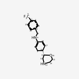 FC(F)(F)c1ccc(CNC2=CCC([C@H]3CNCCO3)C=C2)cc1